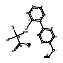 CCCCOc1ccc(-c2ccccc2I)cc1.O=C(O)C(F)(F)F